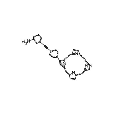 Nc1cccc(C#Cc2ccc(-c3cc4cc5nc(cc6ccc(cc7nc(cc3[nH]4)C=C7)[nH]6)C=C5)cc2)c1